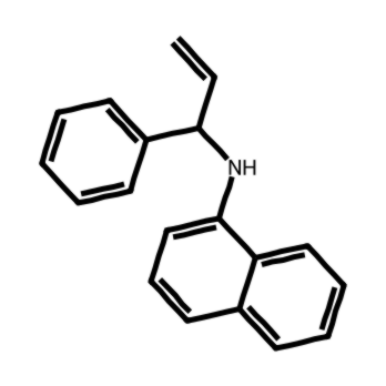 C=CC(Nc1cccc2ccccc12)c1ccccc1